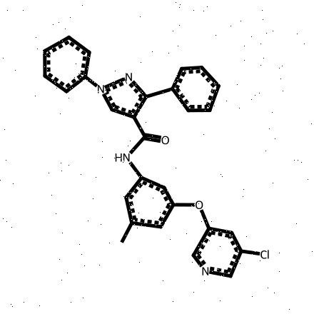 Cc1cc(NC(=O)c2cn(-c3ccccc3)nc2-c2ccccc2)cc(Oc2cncc(Cl)c2)c1